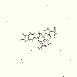 Cn1c(=O)oc2cc(-n3cc(/C(N)=N\O)c(=O)n(C4CCc5c4cccc5C(F)(F)F)c3=O)ccc21